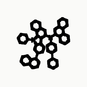 c1ccc(-c2ccc(N(c3cc4ccccc4c4ccccc34)c3cc4ccccc4c4c3c3ccc(-c5cccc6ccccc56)cc3n4-c3ccccc3)cc2)cc1